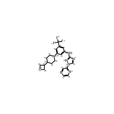 FC(F)(F)c1cc(Nc2ncn(-c3cnccn3)n2)cc(N2CCC(C3COC3)CC2)c1